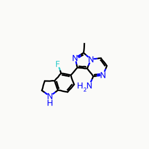 Cc1nc(-c2ccc3c(c2F)CCN3)c2c(N)nccn12